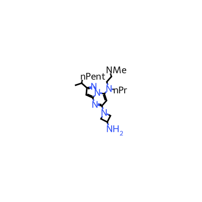 CCCCCC(C)c1cc2nc(N3CC(N)C3)cc(N(CCC)CCNC)n2n1